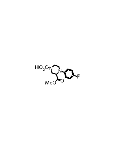 COC(=O)C1CN(C(=O)O)CCN1c1ccc(F)cc1